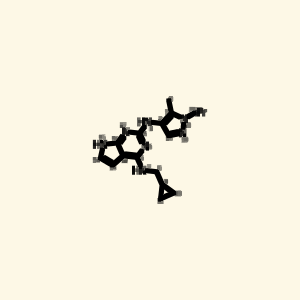 Cc1c(Nc2nc(NCC3CC3)c3cc[nH]c3n2)cnn1C(C)C